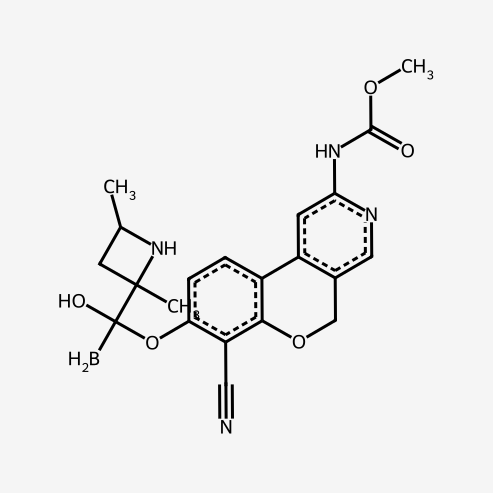 BC(O)(Oc1ccc2c(c1C#N)OCc1cnc(NC(=O)OC)cc1-2)C1(C)CC(C)N1